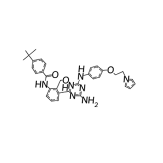 CC(C)(C)c1ccc(C(=O)Nc2cccc(-c3nc(N)nc(Nc4ccc(OCCn5cccc5)cc4)n3)c2CO)cc1